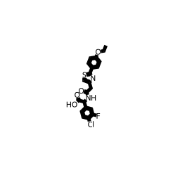 CCOc1ccc(-c2nc(CC(=O)NC(C(=O)O)c3ccc(Cl)c(F)c3)cs2)cc1